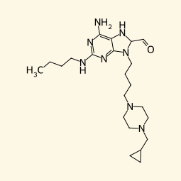 CCCCNc1nc(N)c2c(n1)N(CCCCN1CCN(CC3CC3)CC1)C(C=O)N2